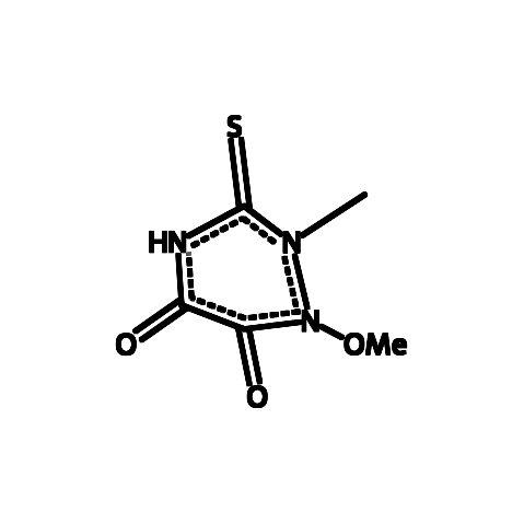 COn1c(=O)c(=O)[nH]c(=S)n1C